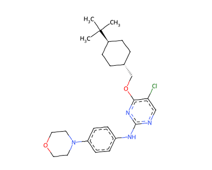 CC(C)(C)[C@H]1CC[C@H](COc2nc(Nc3ccc(N4CCOCC4)cc3)ncc2Cl)CC1